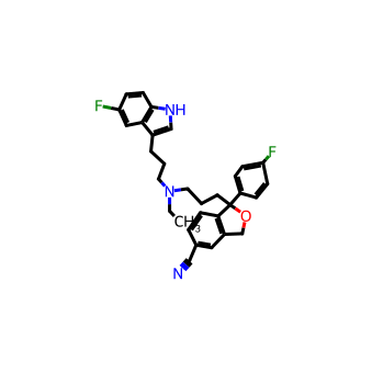 CCN(CCCc1c[nH]c2ccc(F)cc12)CCCC1(c2ccc(F)cc2)OCc2cc(C#N)ccc21